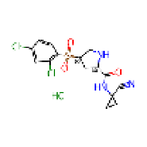 Cl.N#CC1(NC(=O)[C@@H]2C[C@@H](S(=O)(=O)c3ccc(Cl)cc3Cl)CN2)CC1